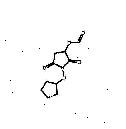 O=COC1CC(=O)N(OC2CCCC2)C1=O